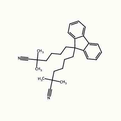 CC(C)(C#N)CCCCC1(CCCCC(C)(C)C#N)c2ccccc2-c2ccccc21